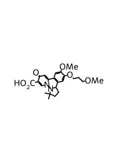 COCCCOc1cc2c(cc1OC)-c1cc(=O)c(C(=O)O)cn1N1C2CCC1(C)C